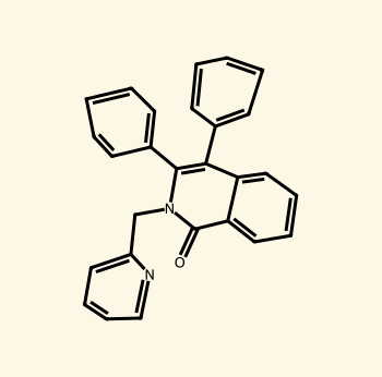 O=c1c2ccccc2c(-c2ccccc2)c(-c2ccccc2)n1Cc1ccccn1